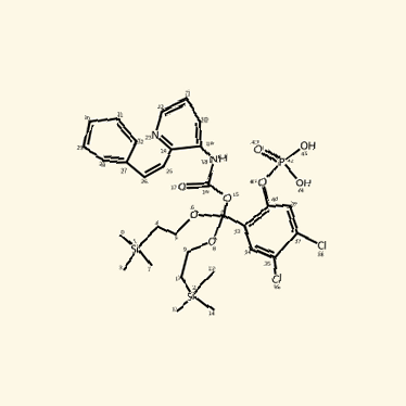 C[Si](C)(C)CCOC(OCC[Si](C)(C)C)(OC(=O)Nc1cccnc1C=Cc1ccccc1)c1cc(Cl)c(Cl)cc1OP(=O)(O)O